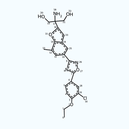 CCOc1ccc(-c2nc(-c3cc(C)c4oc(C(N)(CO)CO)cc4c3)no2)cc1Cl